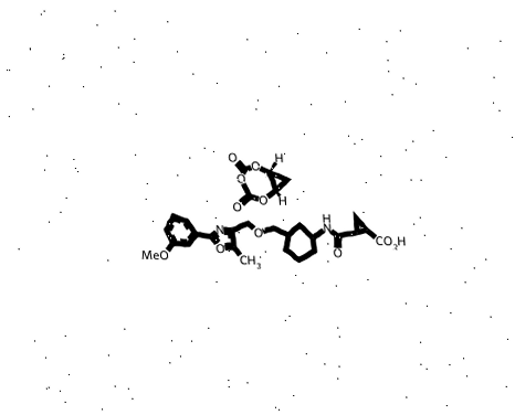 COc1cccc(-c2nc(COCC3CCCC(NC(=O)C4CC4C(=O)O)C3)c(C)o2)c1.O=C1OC(=O)O[C@@H]2C[C@@H]2O1